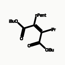 CCCCC/C(C(=O)OCC(C)C)=C(/C(=O)OCC(C)C)C(C)C